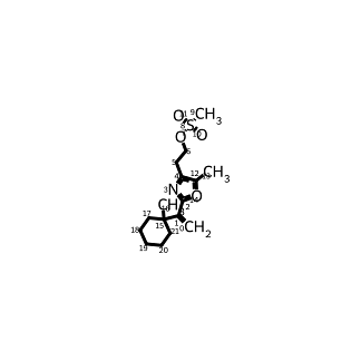 C=C(c1nc(CCOS(C)(=O)=O)c(C)o1)C1(C)CCCCC1